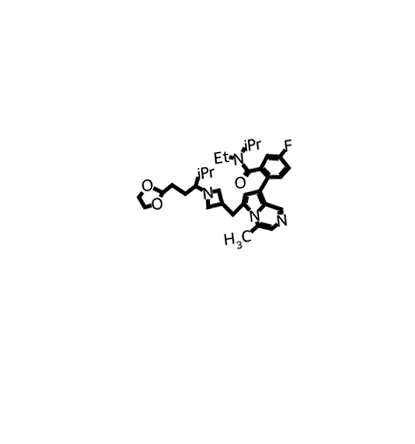 CCN(C(=O)c1cc(F)ccc1-c1cc(CC2CN(C(CCC3OCCO3)C(C)C)C2)n2c(C)cncc12)C(C)C